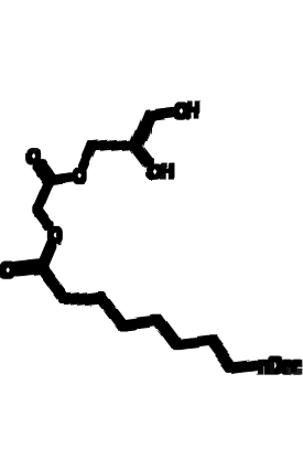 CCCCCCCCCCCCCCCCCC(=O)OCC(=O)OCC(O)CO